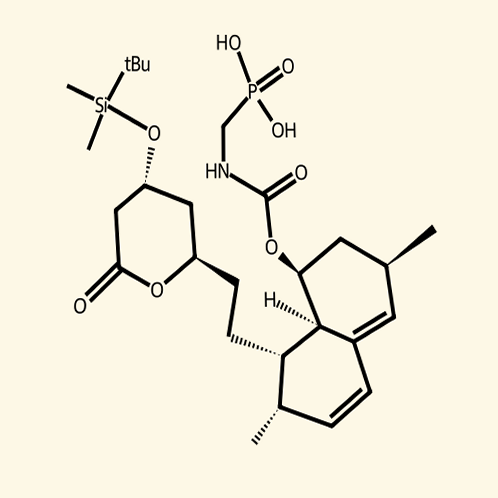 C[C@H]1C=C2C=C[C@H](C)[C@H](CC[C@@H]3C[C@@H](O[Si](C)(C)C(C)(C)C)CC(=O)O3)[C@H]2[C@@H](OC(=O)NCP(=O)(O)O)C1